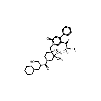 CN(C)C(=O)c1cn(C[C@@]2(O)CCN(C(=O)[C@H](CO)CC3CCCCC3)CC2(C)C)c(=O)cc1-c1ccccc1